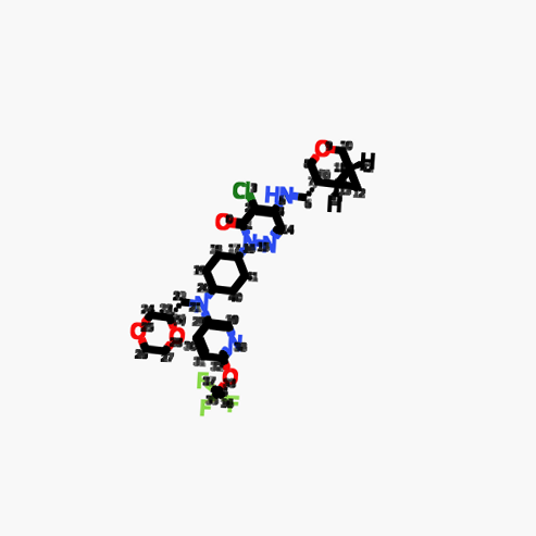 O=c1c(Cl)c(NC[C@@H]2COC[C@@H]3C[C@H]23)cnn1C1CCC(N(C[C@H]2COCCO2)c2ccc(OC(F)(F)F)nc2)CC1